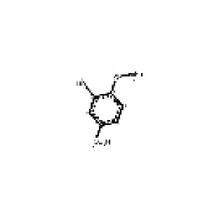 CCCCOc1ccc(C(=O)O)cc1O